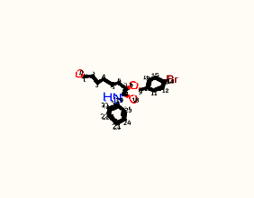 O=CCCCCCC(OCc1ccc(Br)cc1)C(=O)Nc1ccccc1